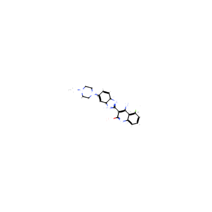 CN1CCN(C2=CC3NC(c4c(O)nc5cccc(F)c5c4N)=NC3C=C2)CC1